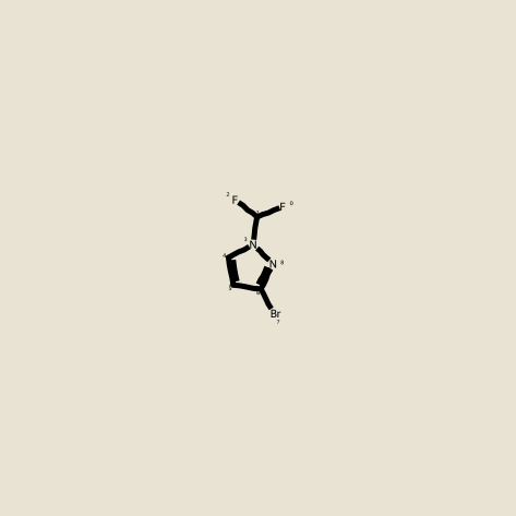 FC(F)n1c[c]c(Br)n1